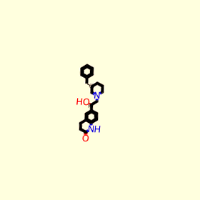 O=C1CCc2cc([C@@H](O)CN3CCC[C@@H](Cc4ccccc4)C3)ccc2N1